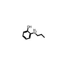 CCC[SiH2]c1ccccc1O